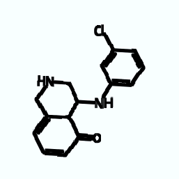 O=C1C=CC=C2CNCC(Nc3cccc(Cl)c3)C12